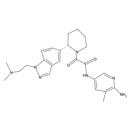 Cc1cc(NC(=O)C(=O)N2CCCC[C@H]2c2ccc3c(cnn3CCN(C)C)c2)cnc1N